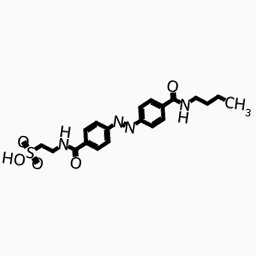 CCCCNC(=O)c1ccc(/N=N/c2ccc(C(=O)NCCS(=O)(=O)O)cc2)cc1